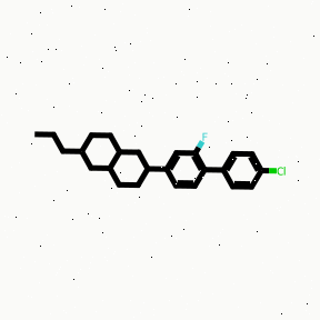 CCCC1CCC2CC(c3ccc(-c4ccc(Cl)cc4)c(F)c3)CCC2C1